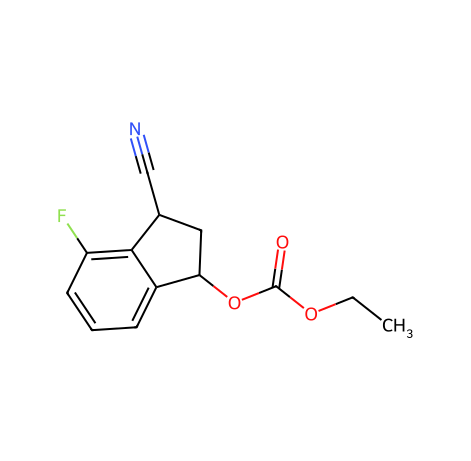 CCOC(=O)OC1CC(C#N)c2c(F)cccc21